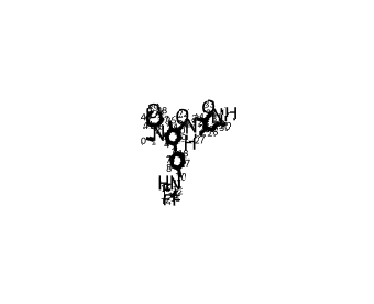 CCN(c1cc(-c2ccc(CNCC(F)(F)F)cc2)cc(C(=O)NCc2c(C)cc(C)[nH]c2=O)c1C)C1CCOCC1